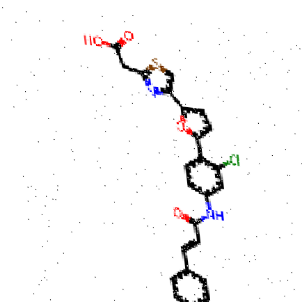 O=C(O)Cc1nc(-c2ccc(-c3ccc(NC(=O)C=Cc4ccccc4)cc3Cl)o2)cs1